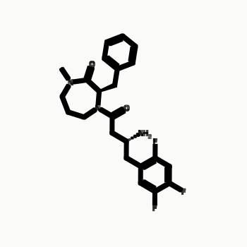 CN1CCCN(C(=O)C[C@H](N)Cc2cc(F)c(F)cc2F)[C@H](Cc2ccccc2)C1=O